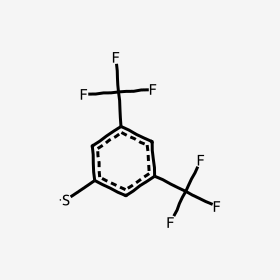 FC(F)(F)c1cc([S])cc(C(F)(F)F)c1